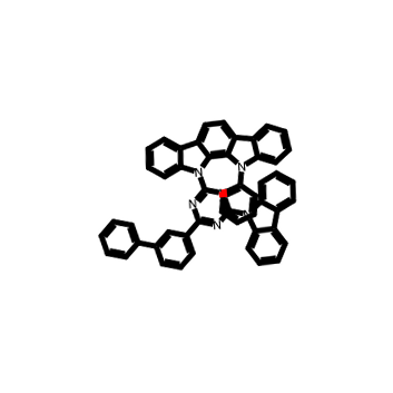 c1ccc(-c2cccc(-c3nc(-n4c5ccccc5c5ccccc54)nc(-n4c5ccccc5c5ccc6c7ccccc7n(-c7ccccc7)c6c54)n3)c2)cc1